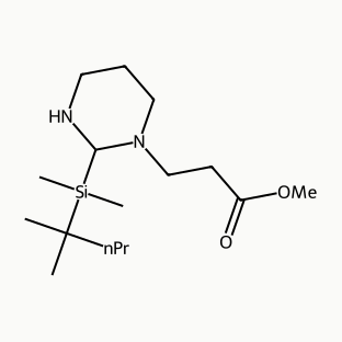 CCCC(C)(C)[Si](C)(C)C1NCCCN1CCC(=O)OC